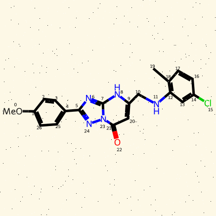 COc1ccc(-c2nc3[nH]c(CNc4cc(Cl)ccc4C)cc(=O)n3n2)cc1